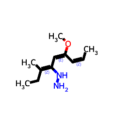 C\C=C/C(=C\C(NN)=C(/C)CC)OC